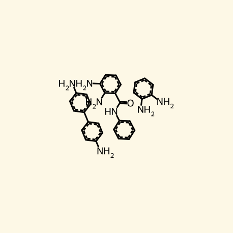 Nc1ccc(-c2ccc(N)cc2)cc1.Nc1cccc(C(=O)Nc2ccccc2)c1N.Nc1ccccc1N